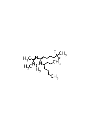 C=N/C(C)=N\C(=C\CCCC(C)(F)F)N(C)C(CCC)CCCC